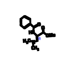 COC(=O)/C(=C/N(C)C)NC(=O)c1ccccc1